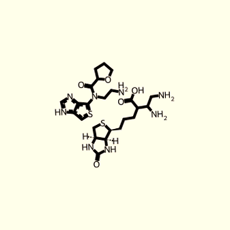 NCC(N)C(CCC[C@@H]1SC[C@@H]2NC(=O)N[C@@H]21)C(=O)O.NCCN(C(=O)C1CCCO1)c1scc2[nH]cnc12